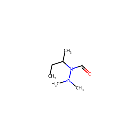 CCC(C)N([C]=O)N(C)C